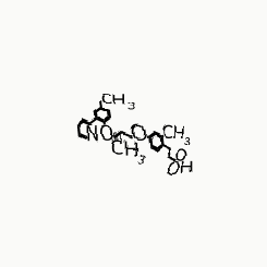 CCc1ccc(O[C@@H](C)CCOc2ccc(CCC(=O)O)c(C)c2)c(-c2ccccn2)c1